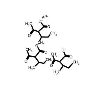 CCC(C)C(C(C)=O)C(=O)[O-].CCC(C)C(C(C)=O)C(=O)[O-].CCC(C)C(C(C)=O)C(=O)[O-].[Al+3]